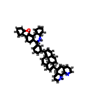 C1=CC2Oc3c(ccc4c(-c5cccc(C6=C7C=CC8=CC=C(c9cc%10cccnc%10c%10ncccc9%10)C9=CC=C(C=C6)C7C89)c5)nc5ccccc5c34)C2C=C1